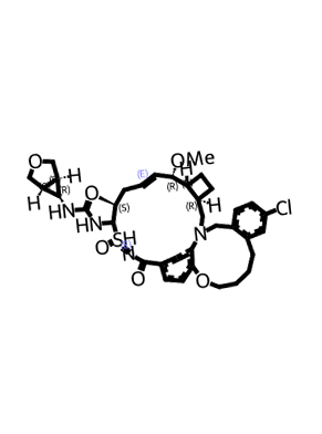 CO[C@H]1/C=C/C[C@H](C)C(NC(=O)N[C@H]2[C@@H]3COC[C@@H]32)/[SH](=O)=N\C(=O)c2ccc3c(c2)N(Cc2ccc(Cl)cc2CCCCO3)C[C@@H]2CC[C@H]21